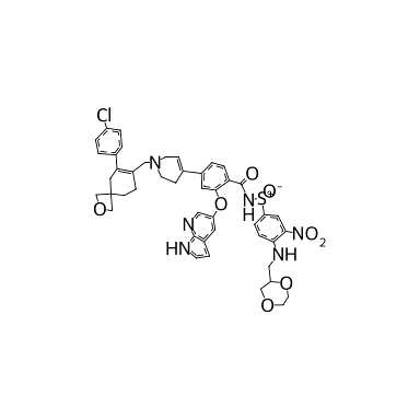 O=C(N[S+]([O-])c1ccc(NCC2COCCO2)c([N+](=O)[O-])c1)c1ccc(C2=CCN(CC3=C(c4ccc(Cl)cc4)CC4(CC3)COC4)CC2)cc1Oc1cnc2[nH]ccc2c1